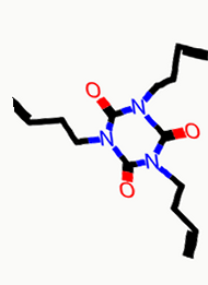 C=CCCn1c(=O)n(CCC=C)c(=O)n(CCC=C)c1=O